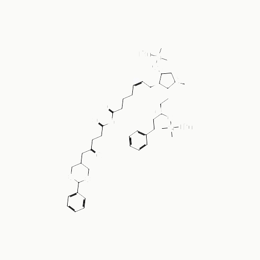 C[C@@H]1C[C@H](O[Si](C)(C)C(C)(C)C)[C@H](C/C=C\CCCC(=O)OC(=O)CCC(=O)CC2COC(c3ccccc3)OC2)[C@H]1CC[C@H](CCc1ccccc1)O[Si](C)(C)C(C)(C)C